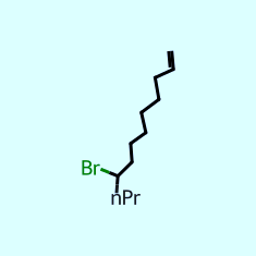 C=CCCCCCCC(Br)CCC